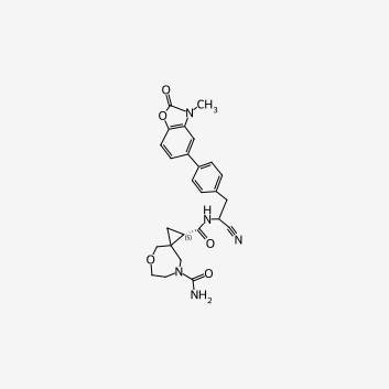 Cn1c(=O)oc2ccc(-c3ccc(CC(C#N)NC(=O)[C@H]4CC45COCCN(C(N)=O)C5)cc3)cc21